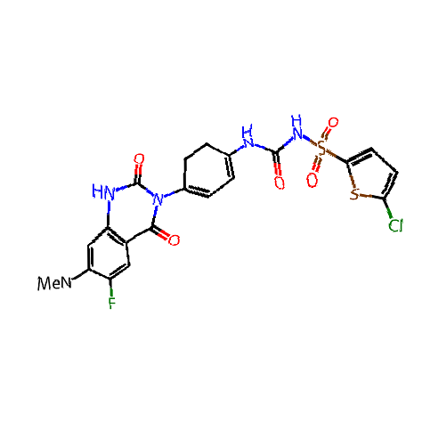 CNc1cc2[nH]c(=O)n(C3=CC=C(NC(=O)NS(=O)(=O)c4ccc(Cl)s4)CC3)c(=O)c2cc1F